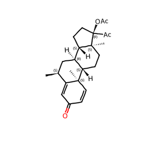 CC(=O)O[C@]1(C(C)=O)CC[C@H]2[C@@H]3C[C@H](C)C4=CC(=O)C=C[C@]4(C)[C@H]3CC[C@@]21C